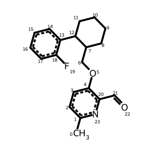 Cc1ccc(OCC2CCCCC2c2ccccc2F)c(C=O)n1